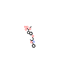 CCOC(C(=O)O)C1CCc2cc(OCCc3nc(-c4ccccc4)oc3C)ccc21